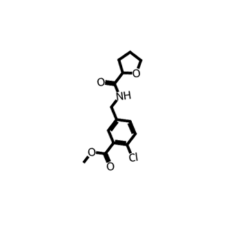 COC(=O)c1cc(CNC(=O)C2CCCO2)ccc1Cl